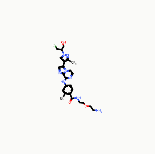 CCc1cc(Nc2nccn3c(-c4cn(C(CO)CCl)nc4C(F)(F)F)cnc23)ccc1C(=O)NCCOCCN